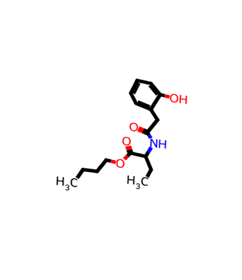 CCCCOC(=O)C(CC)NC(=O)Cc1ccccc1O